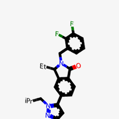 CCC1c2cc(-c3ccnn3CC(C)C)ccc2C(=O)N1Cc1cccc(F)c1F